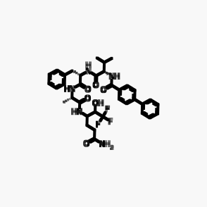 CC(C)[C@H](NC(=O)c1ccc(-c2ccccc2)cc1)C(=O)N[C@@H](Cc1ccccc1)C(=O)N[C@@H](C)C(=O)NC(CCC(N)=O)C(O)C(F)(F)F